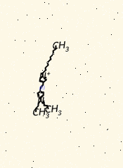 CCCCCCCCCCC[n+]1ccc(/C=C/c2ccc(N(CCCC)CCCC)cc2)cc1